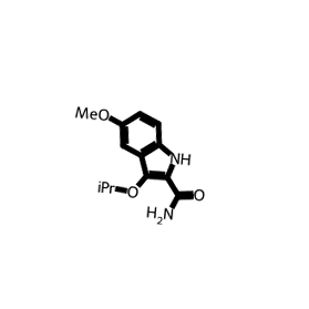 COc1ccc2[nH]c(C(N)=O)c(OC(C)C)c2c1